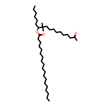 CCCCCCCCCCCCCCCCCCC(=O)OC(CCCCCC)C(C)(C)CCCCCCCCC(C)=O